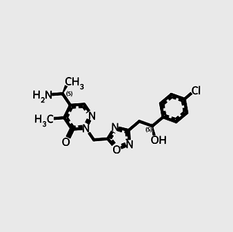 Cc1c([C@H](C)N)cnn(Cc2nc(C[C@H](O)c3ccc(Cl)cc3)no2)c1=O